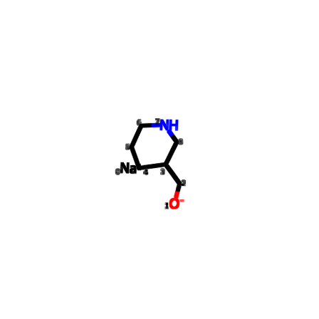 [Na+].[O-]CC1CCCNC1